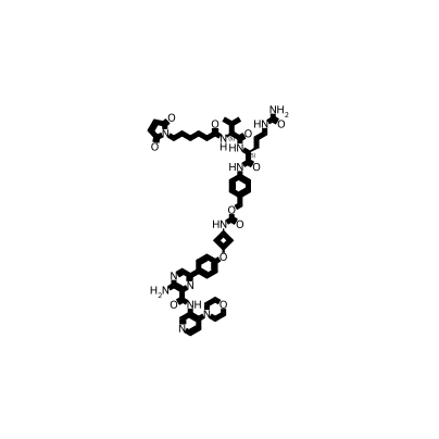 CC(C)[C@H](NC(=O)CCCCCN1C(=O)C=CC1=O)C(=O)N[C@@H](CCCNC(N)=O)C(=O)Nc1ccc(COC(=O)N[C@H]2C[C@H](Oc3ccc(-c4cnc(N)c(C(=O)Nc5cnccc5N5CCOCC5)n4)cc3)C2)cc1